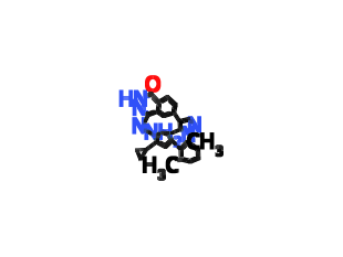 Cc1ccccc1-c1cc(C2CC2)c(C#N)cc1-c1c(-c2ccc3c(=O)[nH]nc(CN)c3c2)cnn1C